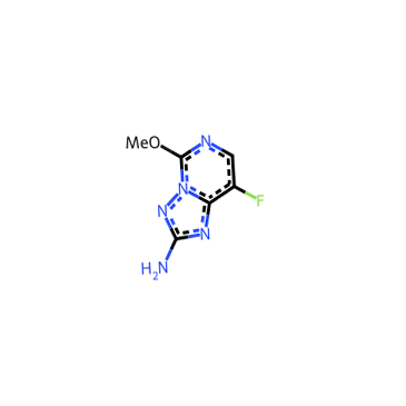 COc1ncc(F)c2nc(N)nn12